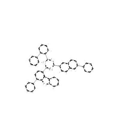 c1ccc(-c2ccc3cc(-c4nc(-c5ccccc5-c5ccccc5)nc(-c5ccc(-c6ccccc6)c6oc7ccccc7c56)n4)ccc3c2)cc1